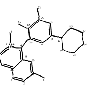 Cc1ccc2cc[n+](C)c(-c3cc(C4CCCCC4)cc(C)c3C)c2c1